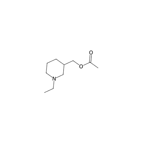 CCN1CCCC(COC(C)=O)C1